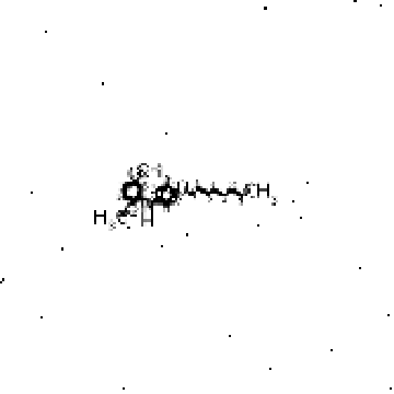 CCCCCCCCOc1ccc(Nc2cc(OC)ccc2OC)cc1